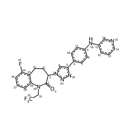 O=C1C(n2cc(-c3ccc(Nc4cccnc4)cc3)nn2)CCc2c(F)cccc2N1CC(F)(F)F